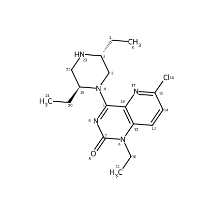 CC[C@@H]1CN(c2nc(=O)n(CC)c3ccc(Cl)nc23)[C@@H](CC)CN1